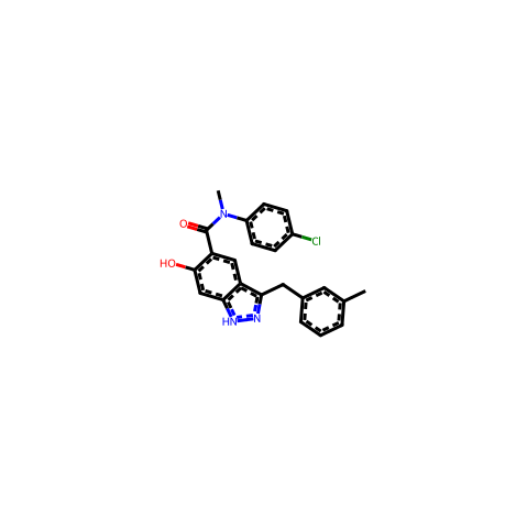 Cc1cccc(Cc2n[nH]c3cc(O)c(C(=O)N(C)c4ccc(Cl)cc4)cc23)c1